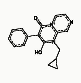 O=c1c(-c2ccccc2)c(O)n(CC2CC2)c2cncc[n+]12